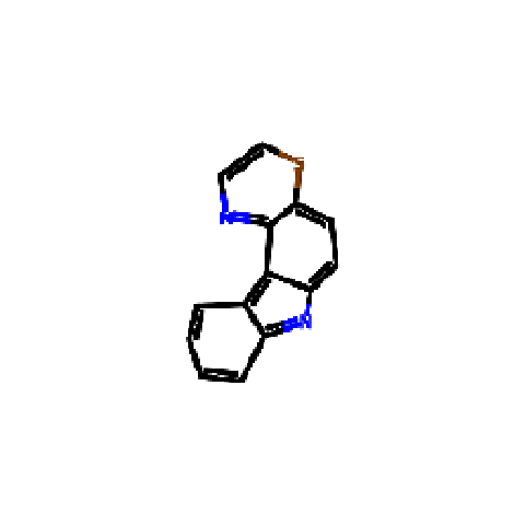 c1ccc2c(c1)nc1ccc3sccnc3c12